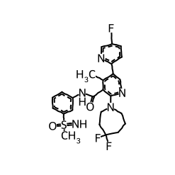 Cc1c(-c2ccc(F)cn2)cnc(N2CCCC(F)(F)CC2)c1C(=O)Nc1cccc(S(C)(=N)=O)c1